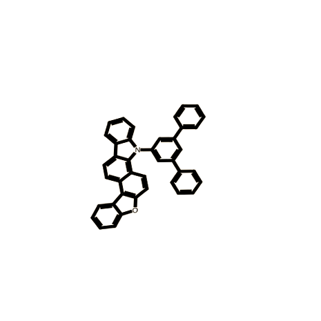 c1ccc(-c2cc(-c3ccccc3)cc(-n3c4ccccc4c4ccc5c(ccc6oc7ccccc7c65)c43)c2)cc1